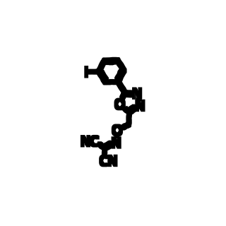 N#CC(C#N)=NOCc1nnc(-c2cccc(I)c2)o1